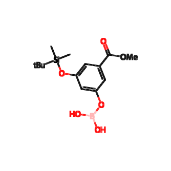 COC(=O)c1cc(OB(O)O)cc(O[Si](C)(C)C(C)(C)C)c1